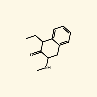 CCC1C(=O)C(NC)Cc2ccccc21